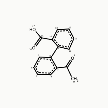 CC(=O)c1ccccc1-c1ccccc1C(=O)O